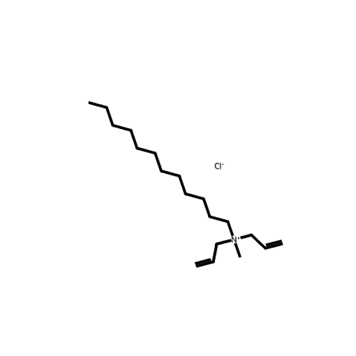 C=CC[N+](C)(CC=C)CCCCCCCCCCCC.[Cl-]